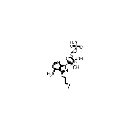 COCCSc1nn([C@@H]2O[C@H](COS(N)(=O)=O)[C@@H](O)[C@H]2O)c2ncnc(N)c12